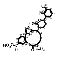 C[C@@H]1CCC[C@H](N2CCC(c3cccc(Cl)c3F)OC2=O)c2nc(c[nH]2)-c2ccc(NC(=O)O)cc2NC1=O